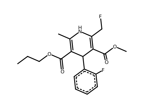 CCCOC(=O)C1=C(C)NC(CF)=C(C(=O)OC)C1c1ccccc1F